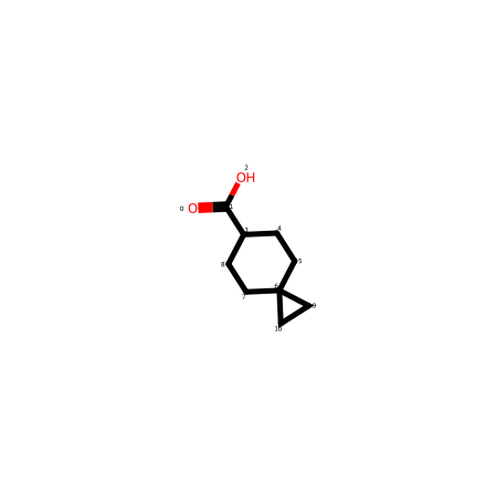 O=C(O)C1CCC2(CC1)CC2